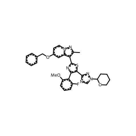 COc1cccc(F)c1-c1nc(-c2c(C)nn3ccc(OCc4ccccc4)cc23)sc1-c1ncn(C2CCCCO2)n1